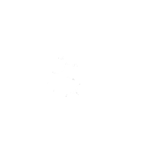 CC(C)C1CCCc2cncnc21